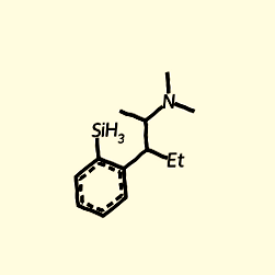 CCC(c1ccccc1[SiH3])C(C)N(C)C